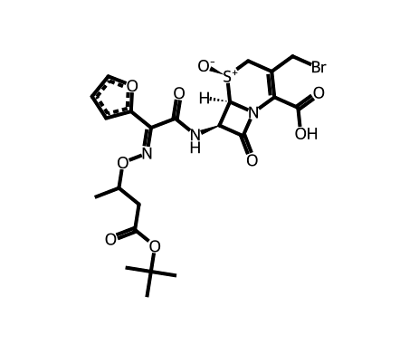 CC(CC(=O)OC(C)(C)C)ON=C(C(=O)N[C@@H]1C(=O)N2C(C(=O)O)=C(CBr)C[S@+]([O-])[C@H]12)c1ccco1